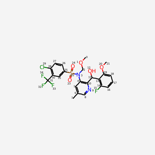 COCN(c1cc(C)cnc1C(O)c1c(F)cccc1OC)S(=O)(=O)c1ccc(Cl)c(C(F)(F)F)c1